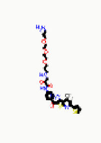 NCCCOCCOCCOCCCNCC(=O)C(=O)Nc1ccc(C(=O)c2sc3nc(-c4cccs4)cc(C(F)(F)F)c3c2N)cc1